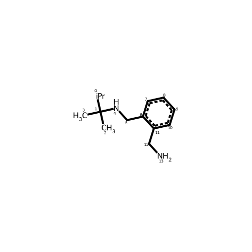 CC(C)C(C)(C)NCc1ccccc1CN